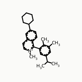 Cc1cc(C(C)C)cc(-c2c3ccc(C4CCCCC4)cc3cc[n+]2C)c1C